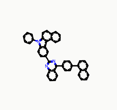 c1ccc(-n2c3ccc(-c4nc(-c5ccc(-c6cccc7ccccc67)cc5)c5ccccc5n4)cc3c3c4ccccc4ccc32)cc1